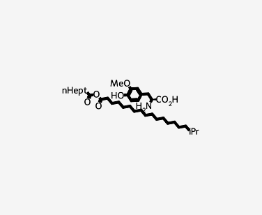 CCCCCCCC(=O)OC(=O)CCCCCCCCCCCCCCCC(C)C.COc1cc(C[C@H](N)C(=O)O)ccc1O